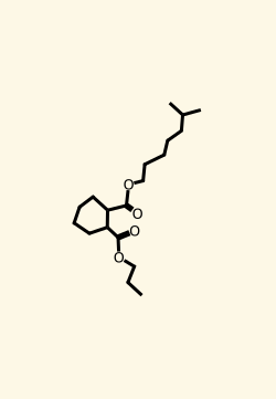 CCCOC(=O)C1CCCCC1C(=O)OCCCCCC(C)C